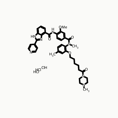 COc1cc(C(=O)N(C)c2ccc(C)cc2OCCCCCC(=O)N2CCN(C)CC2)ccc1NC(=O)c1cccc2[nH]c(-c3ccncc3)nc12.Cl.Cl.Cl